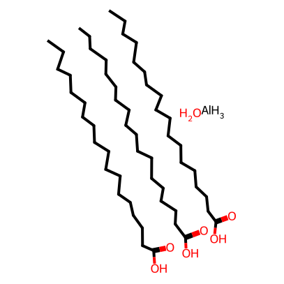 CCCCCCCCCCCCCCCCCC(=O)O.CCCCCCCCCCCCCCCCCC(=O)O.CCCCCCCCCCCCCCCCCC(=O)O.O.[AlH3]